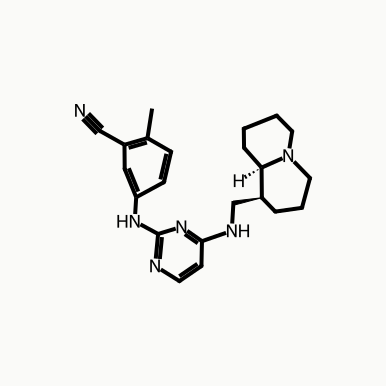 Cc1ccc(Nc2nccc(NC[C@@H]3CCCN4CCCC[C@H]34)n2)cc1C#N